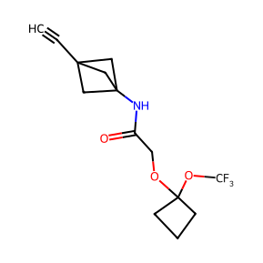 C#CC12CC(NC(=O)COC3(OC(F)(F)F)CCC3)(C1)C2